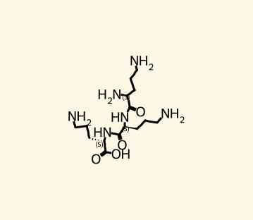 NCCC[C@H](NC(=O)[C@H](CCCN)NC(=O)[C@@H](N)CCCN)C(=O)O